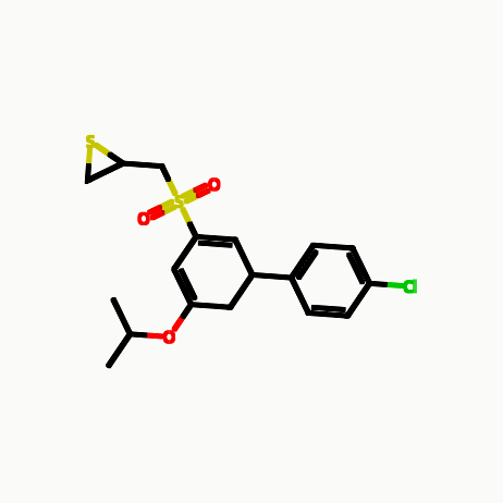 CC(C)OC1=CC(S(=O)(=O)CC2CS2)=CC(c2ccc(Cl)cc2)C1